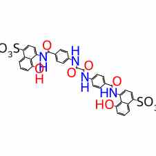 O=C(Nc1ccc(C(=O)Nc2ccc(S(=O)(=O)O)c3cccc(O)c23)cc1)C(=O)Nc1ccc(C(=O)Nc2ccc(S(=O)(=O)O)c3cccc(O)c23)cc1